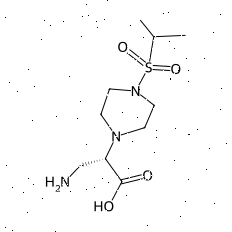 CC(C)S(=O)(=O)N1CCN([C@@H](CN)C(=O)O)CC1